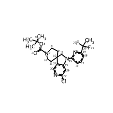 CC(C)(C)OC(=O)N1CCC2(CC1)CN(c1cccc(C(C)(F)F)n1)c1cc(Cl)ncc12